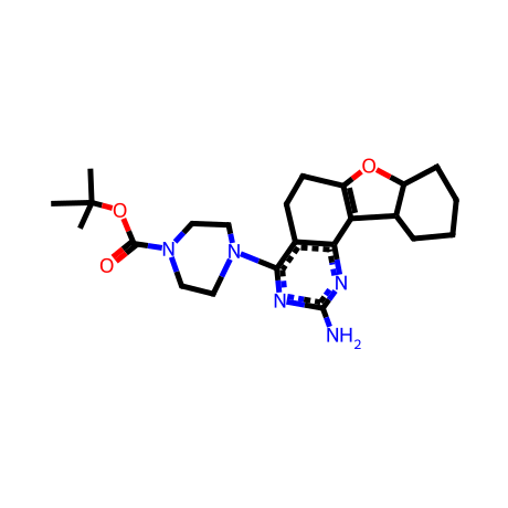 CC(C)(C)OC(=O)N1CCN(c2nc(N)nc3c2CCC2=C3C3CCCCC3O2)CC1